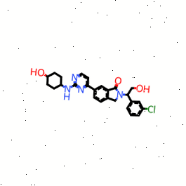 O=C1c2cc(-c3ccnc(NC4CCC(O)CC4)n3)ccc2CN1C(CO)c1cccc(Cl)c1